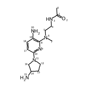 CC(=O)NCCN(C)c1nc(N2CCC(N)C2)ccc1N